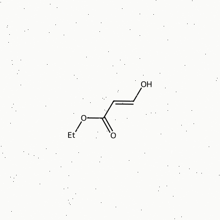 CCOC(=O)C=CO